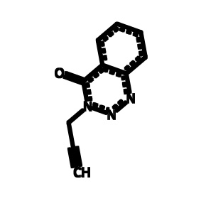 C#CCn1nnc2ccccc2c1=O